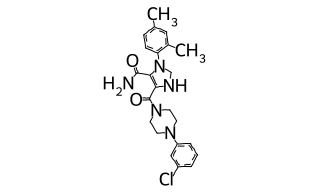 Cc1ccc(N2CNC(C(=O)N3CCN(c4cccc(Cl)c4)CC3)=C2C(N)=O)c(C)c1